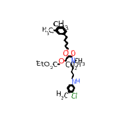 CCOC(=O)COC(C(=O)O)C(OCCCCCc1ccc(C)c(C)c1)C(=O)N(C)CCCCCNc1ccc(C)c(Cl)c1